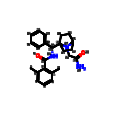 Cc1cccc(C)c1C(=O)N[C@H](c1ccccc1)C12CCC(CC1)N2CC(N)=O